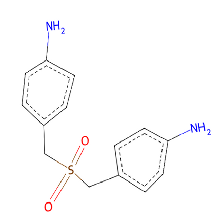 Nc1ccc(CS(=O)(=O)Cc2ccc(N)cc2)cc1